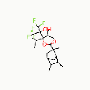 CC1C2CC(C1C)C(C)(C(=O)OC(C(C)C)(C(C)C)C(O)(C(F)(F)F)C(F)(F)F)C2